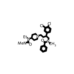 CCN(C(=O)NC)C1CCN(CCC(CN(C)C(=O)c2ccccc2)c2ccc(Cl)c(Cl)c2)CC1